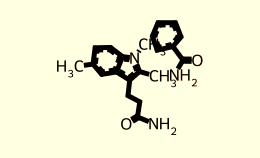 Cc1ccc2c(c1)c(CCC(N)=O)c(C)n2C.NC(=O)c1ccccc1